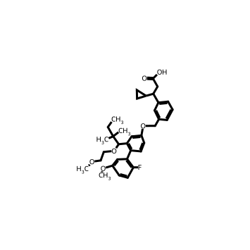 CCC(C)(C)C(OCCOC)c1cc(OCc2cccc(C(CC(=O)O)C3CC3)c2)ccc1-c1cc(OC)ccc1F